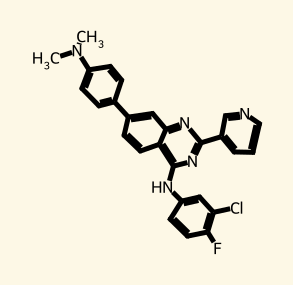 CN(C)c1ccc(-c2ccc3c(Nc4ccc(F)c(Cl)c4)nc(-c4cccnc4)nc3c2)cc1